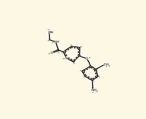 Cc1cc(N)ccc1Oc1ccc(C(=O)NCC(C)(C)C)nc1